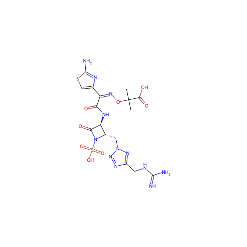 CC(C)(ON=C(C(=O)N[C@@H]1C(=O)N(S(=O)(=O)O)[C@H]1Cn1nnc(CNC(=N)N)n1)c1csc(N)n1)C(=O)O